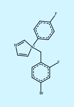 Fc1ccc([N+]2(Cc3ccc(Br)cc3F)C=CN=C2)cc1